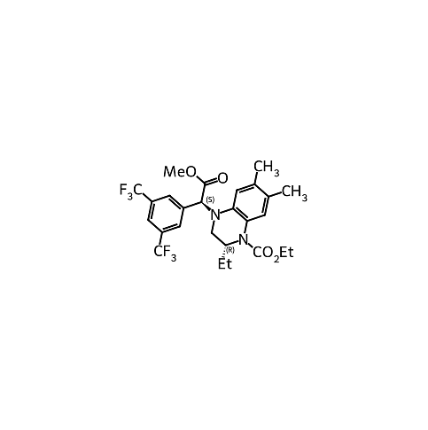 CCOC(=O)N1c2cc(C)c(C)cc2N([C@H](C(=O)OC)c2cc(C(F)(F)F)cc(C(F)(F)F)c2)C[C@H]1CC